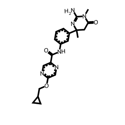 CN1C(=O)CC(C)(c2cccc(NC(=O)c3cnc(OCC4CC4)cn3)c2)N=C1N